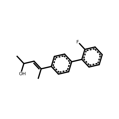 C/C(=C\C(C)O)c1ccc(-c2ccccc2F)cc1